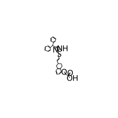 O=C(O)COc1cccc2c1CCC(C=CCSc1nc(C(c3ccccc3)c3ccccc3)c[nH]1)C2